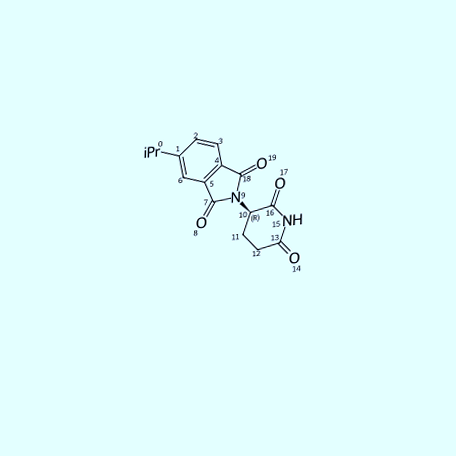 CC(C)c1ccc2c(c1)C(=O)N([C@@H]1CCC(=O)NC1=O)C2=O